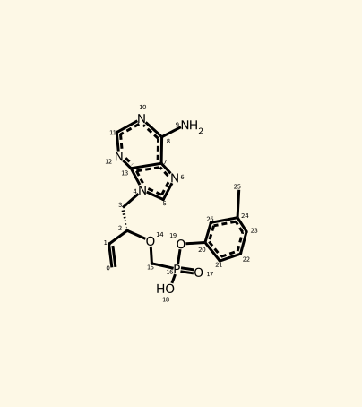 C=C[C@H](Cn1cnc2c(N)ncnc21)OCP(=O)(O)Oc1cccc(C)c1